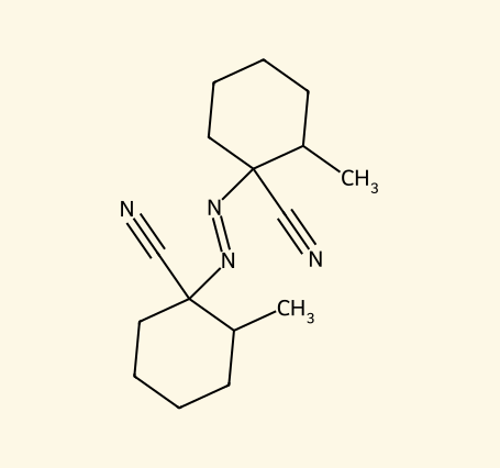 CC1CCCCC1(C#N)N=NC1(C#N)CCCCC1C